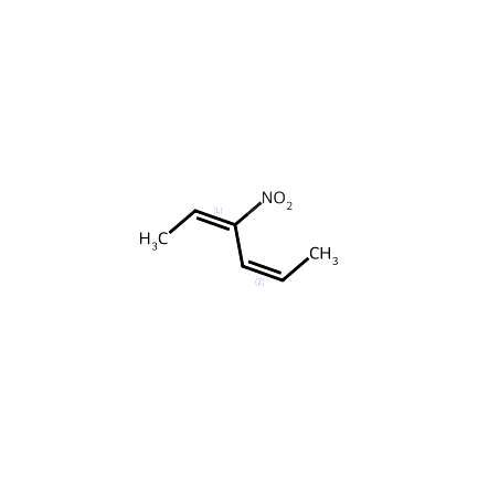 C/C=C\C(=C/C)[N+](=O)[O-]